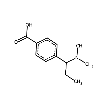 CCC(c1ccc(C(=O)O)cc1)N(C)C